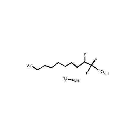 CNC.O=S(=O)(O)C(F)(F)C(F)CCCCCCCC(F)(F)F